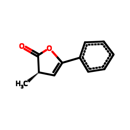 C[C@H]1C=C(c2ccccc2)OC1=O